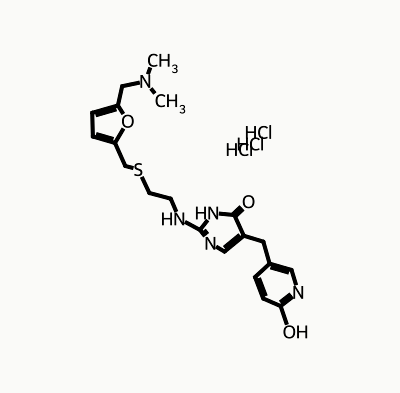 CN(C)Cc1ccc(CSCCNc2ncc(Cc3ccc(O)nc3)c(=O)[nH]2)o1.Cl.Cl.Cl